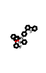 Fc1cccc2c3ccccc3n(-c3ccccc3N(c3ccc(-c4cccc5c4sc4ccccc45)cc3)c3ccc4ccccc4c3)c12